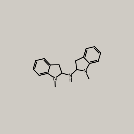 CN1c2ccccc2CC1NC1Cc2ccccc2N1C